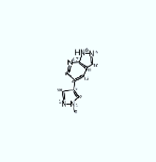 Cn1cc(-c2cnc3[nH]ncc3c2)cn1